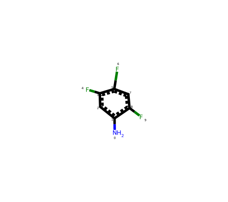 Nc1cc(F)c(F)cc1F